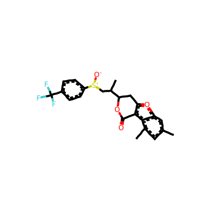 Cc1cc(C)c2c3c(oc2c1)CC(C(C)C[S+]([O-])c1ccc(C(F)(F)F)cc1)OC3=O